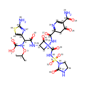 CC(C)ON(C(=O)O)C(C(=O)N[C@H]1C[N+](NC(=O)C2=NC=C(C(N)=O)C(=O)C2)(C(=O)NS(=O)(=O)N2CCNC2=O)C1=O)c1csc(N)n1